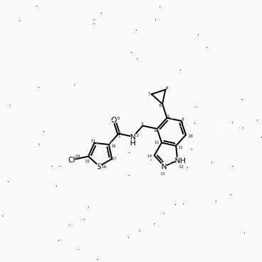 O=C(NCc1c(C2CC2)ccc2[nH]ncc12)c1csc(Cl)c1